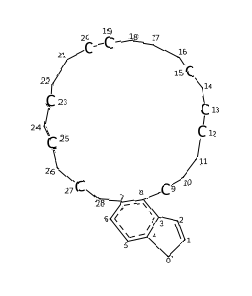 [CH]1C=Cc2c1ccc1c2CCCCCCCCCCCCCCCCCCCC1